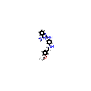 CN(C)c1nc(N[C@H]2CC[C@@H](NCCc3cccc(OC(F)(F)F)c3)CC2)nc2ccccc12